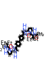 CCC(CC)[C@H](NC(=O)O)C(=O)N1CCC[C@H]1c1nc(-c2ccc(-c3ccc(-c4c[nH]c([C@@H]5CCCN5C(=O)[C@@H](NC(=O)OC)C(CC)CC)n4)cc3)cc2)c[nH]1